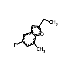 CCc1cc2cc(F)cc(C)c2o1